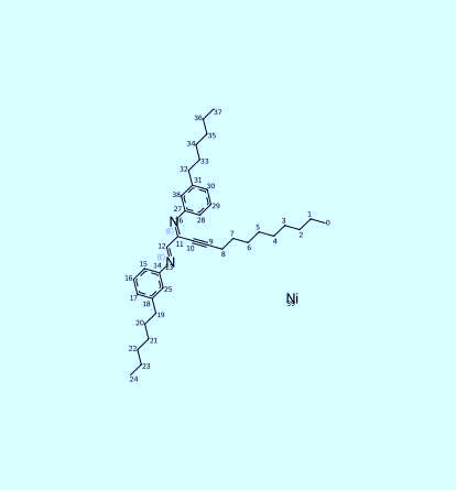 CCCCCCCCCC#CC(/C=N/c1cccc(CCCCCC)c1)=N\c1cccc(CCCCCC)c1.[Ni]